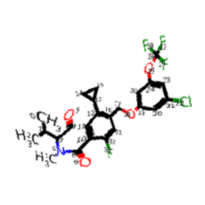 CC(C)C(C=O)N(C)C(=O)c1cc(C2CC2)c(COc2cc(Cl)cc(OC(F)(F)F)c2)cc1F